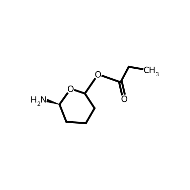 CCC(=O)OC1CCC[C@@H](N)O1